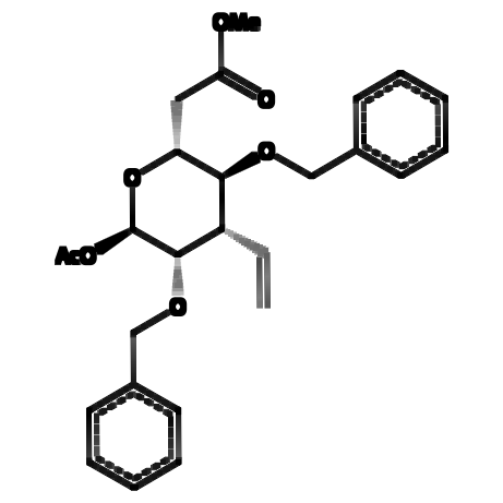 C=C[C@@H]1[C@H](OCc2ccccc2)[C@@H](OC(C)=O)O[C@H](CC(=O)OC)[C@H]1OCc1ccccc1